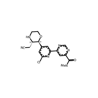 CNC(=O)c1cc(-c2cc([C@@H]3OCCN[C@H]3CC#N)cc(Cl)n2)ncn1